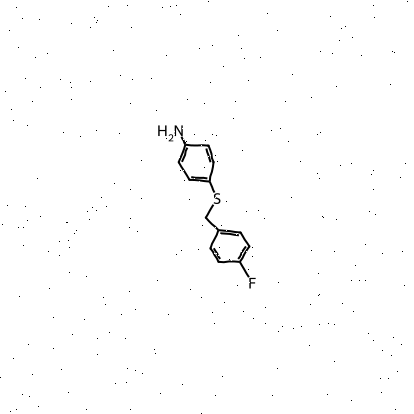 Nc1ccc(SCc2ccc(F)cc2)cc1